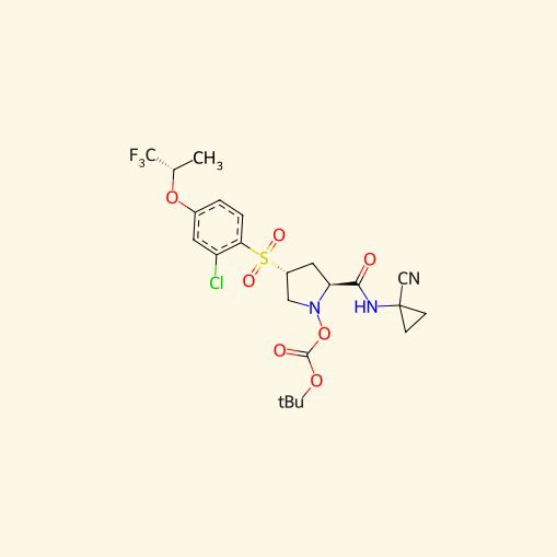 C[C@H](Oc1ccc(S(=O)(=O)[C@@H]2C[C@@H](C(=O)NC3(C#N)CC3)N(OC(=O)OC(C)(C)C)C2)c(Cl)c1)C(F)(F)F